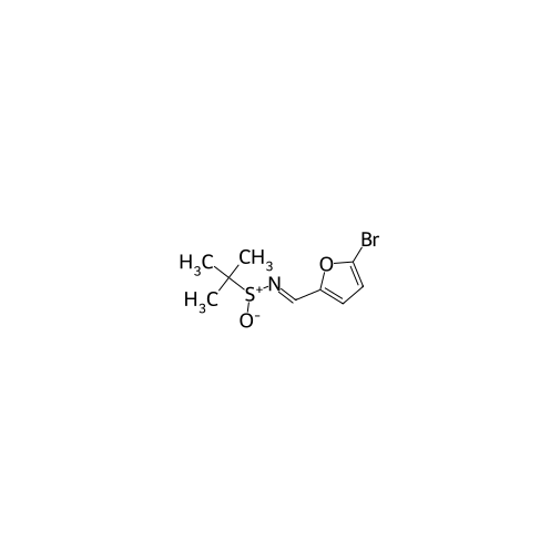 CC(C)(C)[S+]([O-])N=Cc1ccc(Br)o1